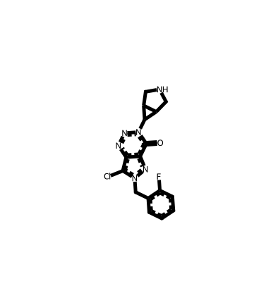 O=c1c2nn(Cc3ccccc3F)c(Cl)c2nnn1C1C2CNCC21